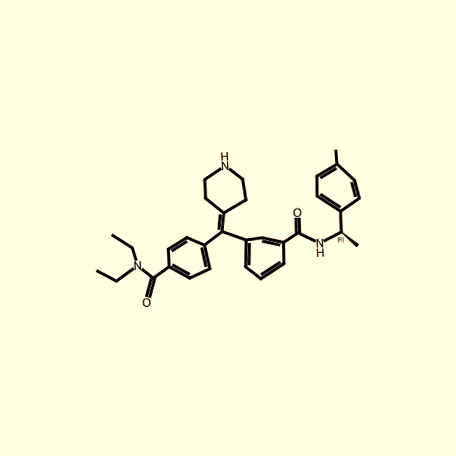 CCN(CC)C(=O)c1ccc(C(=C2CCNCC2)c2cccc(C(=O)N[C@H](C)c3ccc(C)cc3)c2)cc1